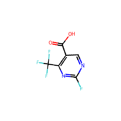 O=C(O)c1cnc(F)nc1C(F)(F)F